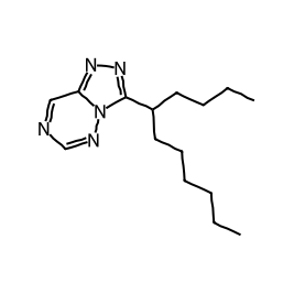 CCCCCCC(CCCC)c1nnc2cncnn12